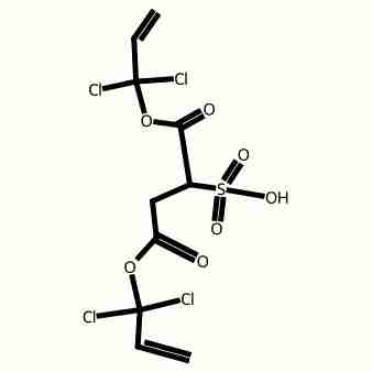 C=CC(Cl)(Cl)OC(=O)CC(C(=O)OC(Cl)(Cl)C=C)S(=O)(=O)O